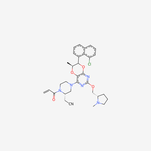 C=CC(=O)N1CCN(c2nc(OC[C@@H]3CCCN3C)nc3c2O[C@@H](C)C(c2cccc4cccc(Cl)c24)O3)C[C@@H]1CC#N